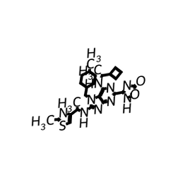 Cc1nc(C(C)Nc2nc3nc(-c4nc(=O)o[nH]4)nc(N[C@H](C)C4CCC4)c3n2CC2CCC(C)CC2)cs1